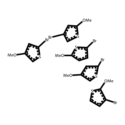 COc1cc(Br)cs1.COc1ccc(Br)s1.COc1csc(Br)c1.COc1csc(Br)c1.COc1sccc1Br